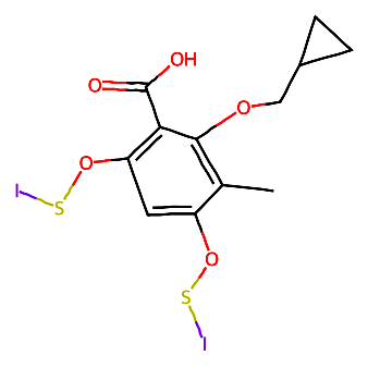 Cc1c(OSI)cc(OSI)c(C(=O)O)c1OCC1CC1